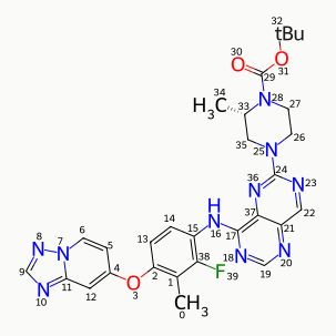 Cc1c(Oc2ccn3ncnc3c2)ccc(Nc2ncnc3cnc(N4CCN(C(=O)OC(C)(C)C)[C@@H](C)C4)nc23)c1F